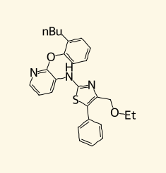 CCCCc1ccccc1Oc1ncccc1Nc1nc(COCC)c(-c2ccccc2)s1